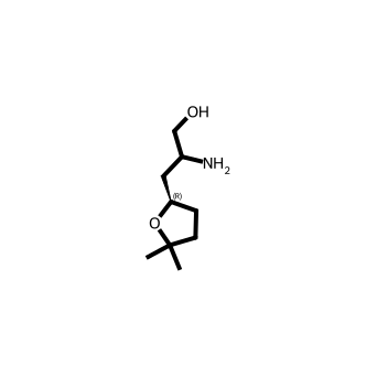 CC1(C)CC[C@H](CC(N)CO)O1